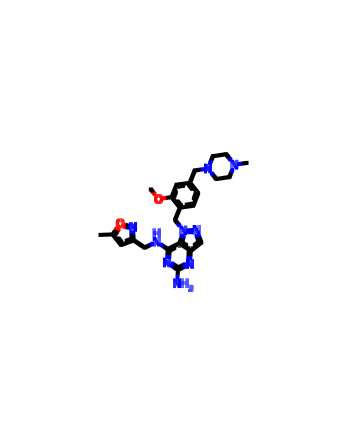 COc1cc(CN2CCN(C)CC2)ccc1Cn1ncc2nc(N)nc(NCc3cc(C)on3)c21